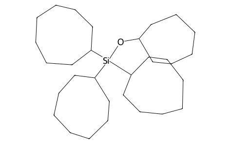 C1CCCC([Si](OC2CCCCCC2)(C2CCCCCCC2)C2CCCCCCC2)CCC1